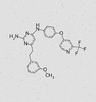 COc1cccc(CCc2cc(Nc3ccc(Oc4ccnc(C(F)(F)F)c4)cc3)nc(N)n2)c1